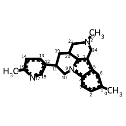 Cc1ccc2c(c1)c1c3n2CC(c2ccc(C)nc2)CC3CN(C)C1